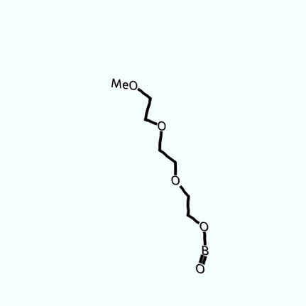 COCCOCCOCCOB=O